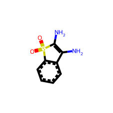 NC1=C(N)S(=O)(=O)c2ccccc21